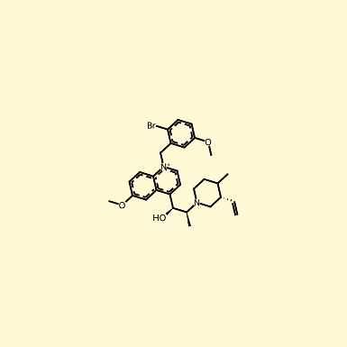 C=C[C@@H]1CN([C@@H](C)[C@@H](O)c2cc[n+](Cc3cc(OC)ccc3Br)c3ccc(OC)cc23)CCC1C